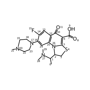 CC(C1CSc2c(C(=O)O)c(=O)c3cc(F)c(N4CCN(C)CC4)cc3n21)N(C)C